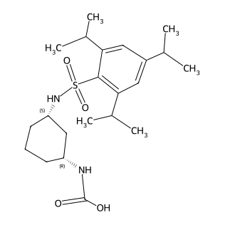 CC(C)c1cc(C(C)C)c(S(=O)(=O)N[C@H]2CCC[C@@H](NC(=O)O)C2)c(C(C)C)c1